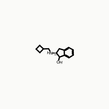 OC1c2ccccc2C[C@@H]1NCC1CCC1